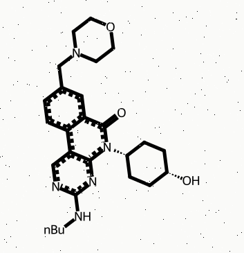 CCCCNc1ncc2c3ccc(CN4CCOCC4)cc3c(=O)n([C@H]3CC[C@@H](O)CC3)c2n1